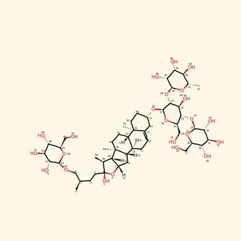 C[C@H](CC[C@@]1(O)O[C@H]2C[C@H]3[C@@H]4CC=C5C[C@@H](O[C@@H]6O[C@H](CO)[C@@H](O[C@@H]7O[C@H](CO)[C@@H](O)[C@H](O)[C@H]7O)[C@H](O)[C@H]6O[C@@H]6O[C@@H](C)[C@H](O)[C@@H](O)[C@H]6O)CC[C@]5(C)[C@H]4CC[C@]3(C)[C@H]2[C@@H]1C)CO[C@@H]1O[C@H](CO)[C@@H](O)[C@H](O)[C@H]1O